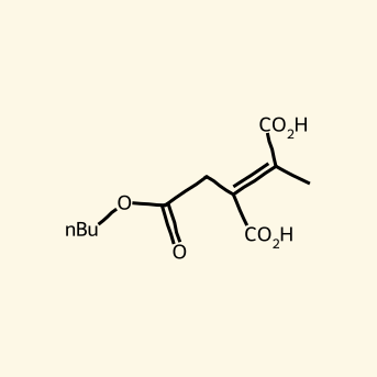 CCCCOC(=O)C/C(C(=O)O)=C(/C)C(=O)O